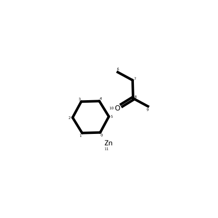 C1CCCCC1.CCC(C)=O.[Zn]